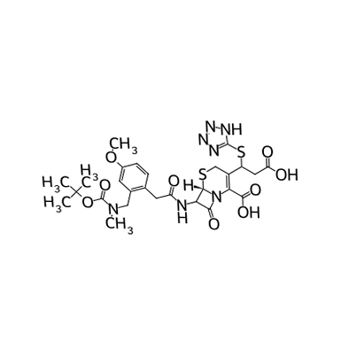 COc1ccc(CC(=O)NC2C(=O)N3C(C(=O)O)=C(C(CC(=O)O)Sc4nnn[nH]4)CS[C@@H]23)c(CN(C)C(=O)OC(C)(C)C)c1